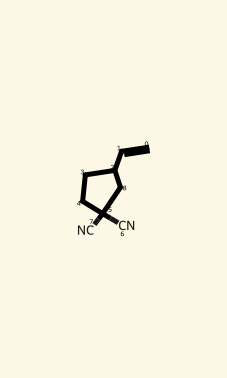 C=CC1CCC(C#N)(C#N)C1